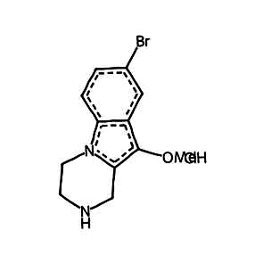 COc1c2n(c3ccc(Br)cc13)CCNC2.Cl